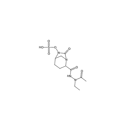 CCN(NC(=O)C1CCC2CN1C(=O)N2OS(=O)(=O)O)C(C)=O